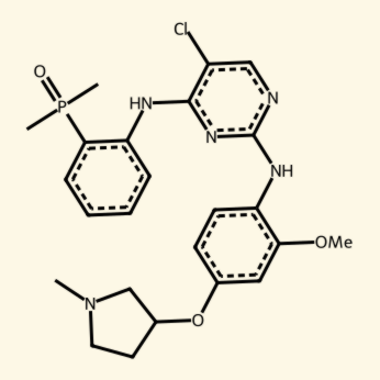 COc1cc(OC2CCN(C)C2)ccc1Nc1ncc(Cl)c(Nc2ccccc2P(C)(C)=O)n1